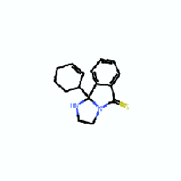 S=C1c2ccccc2C2(C3C=CCCC3)NCCN12